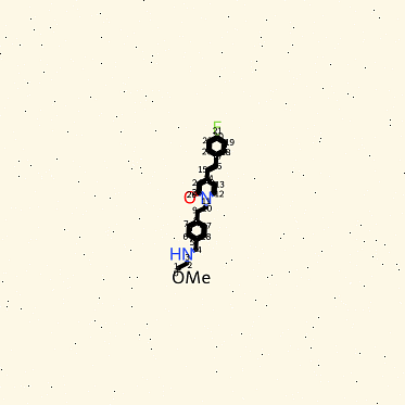 COCCNCc1ccc(CCn2ccc(/C=C/c3ccc(F)cc3)cc2=O)cc1